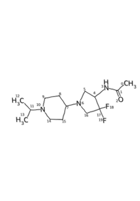 CC(=O)NC1CN(C2CCN(C(C)C)CC2)CC1(F)F